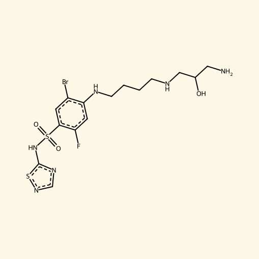 NCC(O)CNCCCCNc1cc(F)c(S(=O)(=O)Nc2ncns2)cc1Br